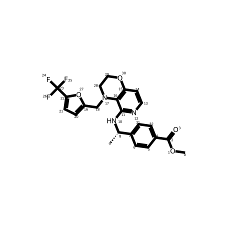 COC(=O)c1ccc([C@H](C)Nc2nccc3c2N(Cc2ccc(C(F)(F)F)o2)CCO3)cc1